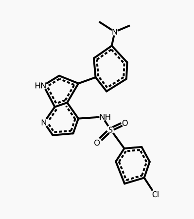 CN(C)c1cccc(-c2c[nH]c3nccc(NS(=O)(=O)c4ccc(Cl)cc4)c23)c1